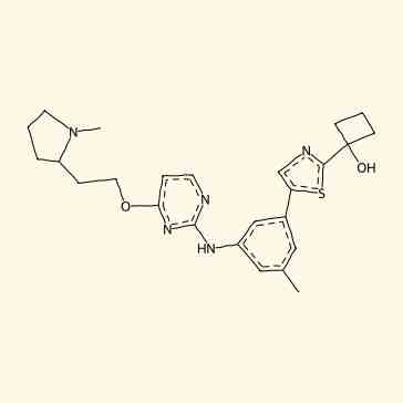 Cc1cc(Nc2nccc(OCCC3CCCN3C)n2)cc(-c2cnc(C3(O)CCC3)s2)c1